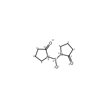 O=C1CCCN1[S+]([O-])N1CCCC1=O